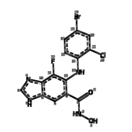 O=C(NO)c1cc2[nH]cnc2c(F)c1Nc1ccc(Br)cc1Cl